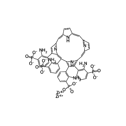 Nc1c(C2=Cc3cc4ccc(cc5nc(cc6[nH]c(c(-c7cccc(P(=O)([O-])[O-])c7N)c2n3)c(-c2cccc(P(=O)([O-])[O-])c2N)c6-c2cccc(P(=O)([O-])[O-])c2N)C=C5)[nH]4)cccc1P(=O)([O-])[O-].[Zr+4].[Zr+4]